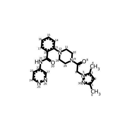 Cc1cc(C)n(CC(=O)N2CCN(c3ccccc3C(=O)Nc3ccnnc3)CC2)n1